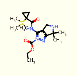 CCOC(=O)n1nc2c(c1NC(=O)C1(S(C)(C)C)CC1)CNC2(C)C